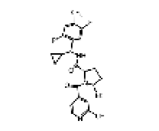 CC[C@@H]1CC[C@H](C(=O)NC(c2cc(F)c(C(F)(F)F)cc2F)C2CC2)N1C(=O)c1ccnc(C)c1